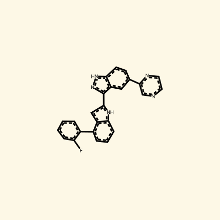 Fc1ccccc1-c1cccc2[nH]c(-c3n[nH]c4ccc(-c5cnccn5)cc34)cc12